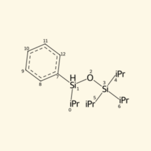 CC(C)[SiH](O[Si](C(C)C)(C(C)C)C(C)C)c1ccccc1